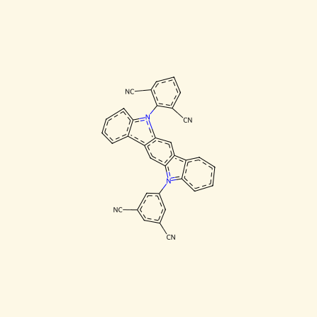 N#Cc1cc(C#N)cc(-n2c3ccccc3c3cc4c(cc32)c2ccccc2n4-c2c(C#N)cccc2C#N)c1